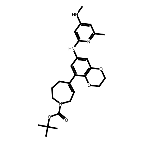 CNc1cc(C)nc(Nc2cc3c(c(C4=CCN(C(=O)OC(C)(C)C)CCC4)c2)OCCO3)c1